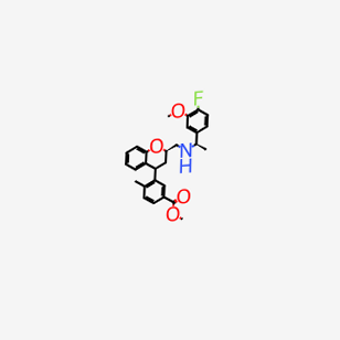 COC(=O)c1ccc(C)c(C2C[C@H](CN[C@H](C)c3ccc(F)c(OC)c3)Oc3ccccc32)c1